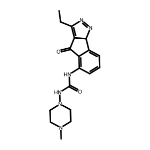 CCC1=C2C(=O)c3c(NC(=O)NN4CCN(C)CC4)cccc3C2N=N1